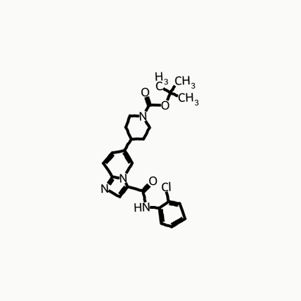 CC(C)(C)OC(=O)N1CCC(c2ccc3ncc(C(=O)Nc4ccccc4Cl)n3c2)CC1